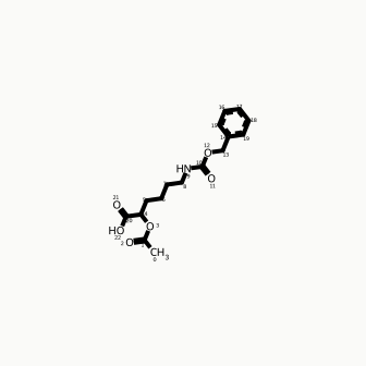 CC(=O)OC(CCCCNC(=O)OCc1ccccc1)C(=O)O